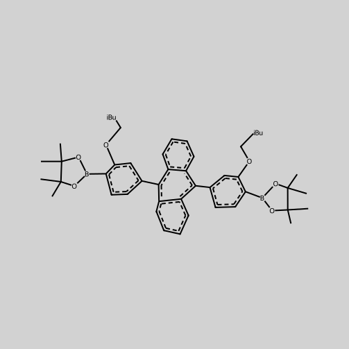 CCC(C)COc1cc(-c2c3ccccc3c(-c3ccc(B4OC(C)(C)C(C)(C)O4)c(OCC(C)CC)c3)c3ccccc23)ccc1B1OC(C)(C)C(C)(C)O1